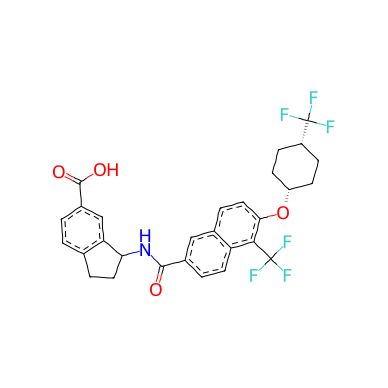 O=C(O)c1ccc2c(c1)C(NC(=O)c1ccc3c(C(F)(F)F)c(O[C@H]4CC[C@@H](C(F)(F)F)CC4)ccc3c1)CC2